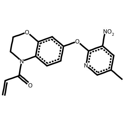 C=CC(=O)N1CCOc2cc(Oc3ncc(C)cc3[N+](=O)[O-])ccc21